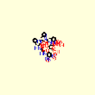 O=C(CCNc1ccc([N+](=O)[O-])c2nonc12)N[C@H](Cc1ccccc1)C(=O)N[C@H](Cc1ccccc1)C(=O)N[C@H](Cc1ccc(OP(=O)(O)O)cc1)C(=O)N[C@@H]1[C@@H](O)[C@H](O)[C@@H](CO)O[C@H]1O